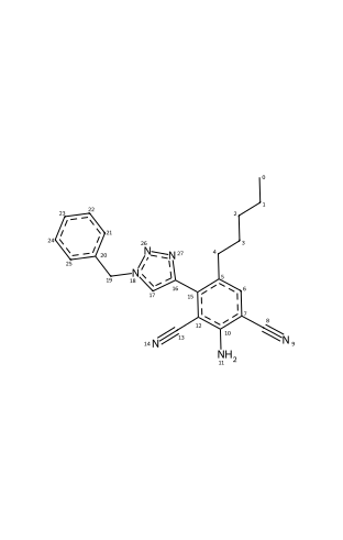 CCCCCc1cc(C#N)c(N)c(C#N)c1-c1cn(Cc2ccccc2)nn1